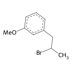 COc1cccc(CC(C)Br)c1